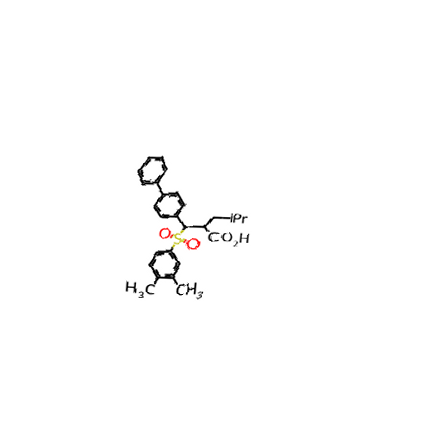 Cc1ccc(S(=O)(=O)C(c2ccc(-c3ccccc3)cc2)C(CC(C)C)C(=O)O)cc1C